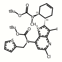 CN(C(=O)OC(C)(C)C)[C@H]1CC=CC[C@@H]1c1sc2c(N(Cc3cccs3)C(=O)OC(C)(C)C)cc(Cl)nc2c1I